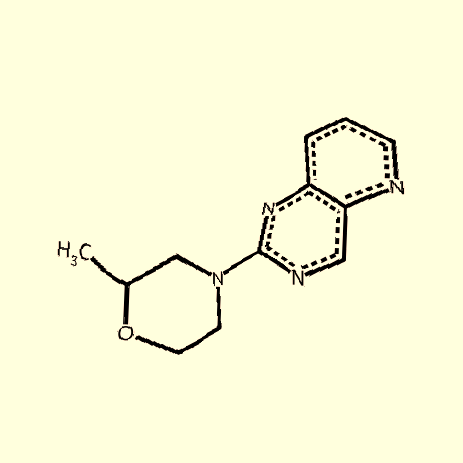 CC1CN(c2ncc3ncccc3n2)CCO1